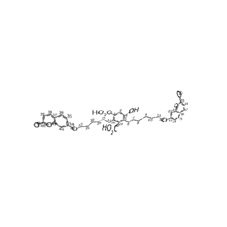 O=C(O)c1cc(O)c(CCCCCCOc2ccc3ccc(=O)oc3c2)c(C(=O)O)c1CCCCCCOc1ccc2ccc(=O)oc2c1